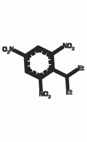 CCC(CC)c1c([N+](=O)[O-])cc([N+](=O)[O-])cc1[N+](=O)[O-]